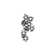 c1ccc(-c2nc(-c3ccc4oc5ccccc5c4c3)nc(-c3ccccc3-c3ccc4c(c3)-c3ccccc3C43c4ccccc4-c4ccccc43)n2)cc1